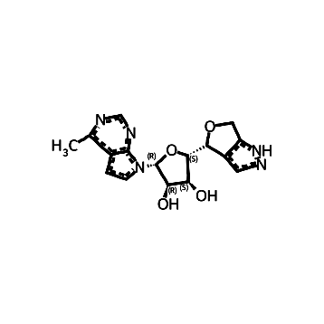 Cc1ncnc2c1ccn2[C@@H]1O[C@H](C2OCc3[nH]ncc32)[C@@H](O)[C@H]1O